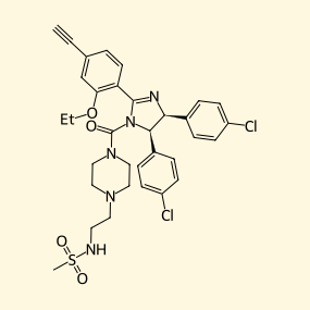 C#Cc1ccc(C2=N[C@@H](c3ccc(Cl)cc3)[C@@H](c3ccc(Cl)cc3)N2C(=O)N2CCN(CCNS(C)(=O)=O)CC2)c(OCC)c1